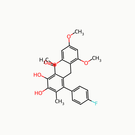 COc1cc(OC)c(Cc2c(C=O)c(O)c(O)c(C)c2-c2ccc(F)cc2)c(OC)c1